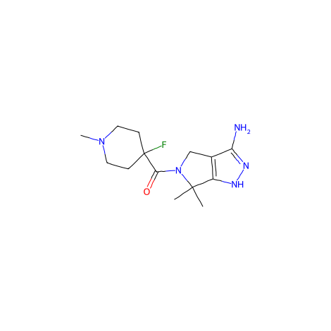 CN1CCC(F)(C(=O)N2Cc3c(N)n[nH]c3C2(C)C)CC1